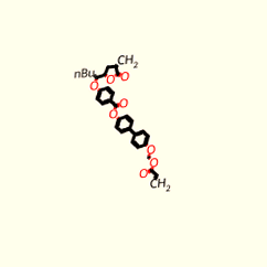 C=CC(=O)OCOc1ccc(-c2ccc(OC(=O)c3ccc(OC(CCCC)C4CC(=C)C(=O)O4)cc3)cc2)cc1